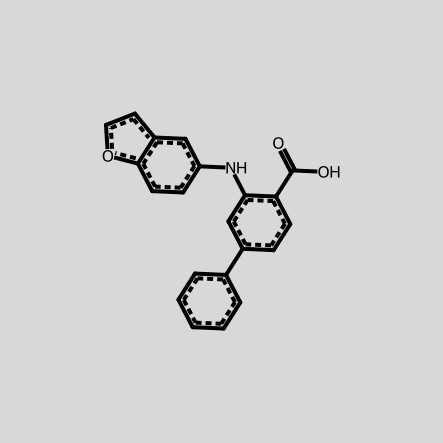 O=C(O)c1ccc(-c2ccccc2)cc1Nc1ccc2occc2c1